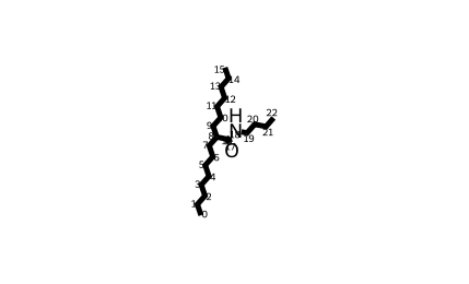 CCCCCCCCC(CCCCCCC)C(=O)NCCCC